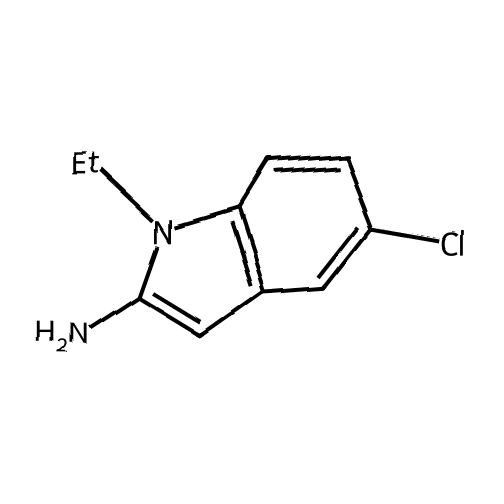 CCn1c(N)cc2cc(Cl)ccc21